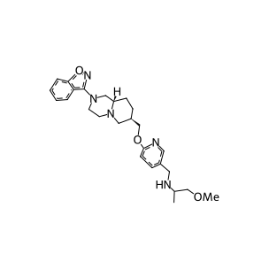 COCC(C)NCc1ccc(OC[C@@H]2CC[C@H]3CN(c4noc5ccccc45)CCN3C2)nc1